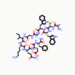 CCC(C)[C@@H](NC(=O)CNC(=O)[C@@H](C)NC(=O)[C@@H](Cc1c[nH]c2ccccc12)NC(=O)[C@@H](Cc1c[nH]c2ccccc12)NC(=O)[C@@H](CS)NC(=O)[C@@H](C)N)C(=O)N[C@H](CCCCN)C(=O)N[C@H](CCC(N)=O)C(=O)N[C@H](CCC(=O)O)C(=O)N[C@H](Cc1ccccc1)C(N)=O